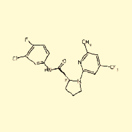 Cc1cc(C(F)(F)F)cc(N2CCC[C@H]2C(=O)Nc2ccc(F)c(Cl)c2)n1